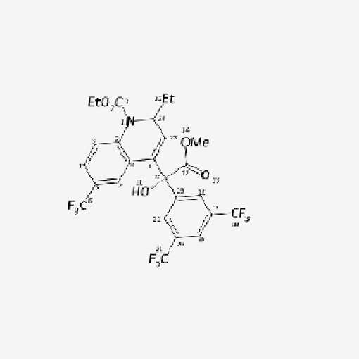 CCOC(=O)N1c2ccc(C(F)(F)F)cc2C([C@@](O)(C(=O)OC)c2cc(C(F)(F)F)cc(C(F)(F)F)c2)=CC1CC